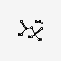 O=[Si](O)OP(=O)(O)O.[GeH4]